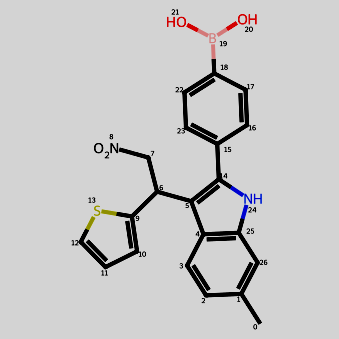 Cc1ccc2c(C(C[N+](=O)[O-])c3cccs3)c(-c3ccc(B(O)O)cc3)[nH]c2c1